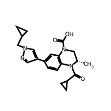 C[C@H]1CN(C(=O)O)c2cc(-c3cnn(CC4CC4)c3)ccc2N1C(=O)C1CC1